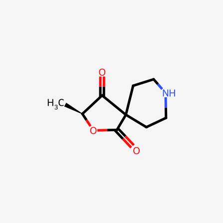 C[C@@H]1OC(=O)C2(CCNCC2)C1=O